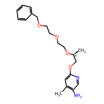 Cc1cc(OC[C@H](C)OCCOCCOCc2ccccc2)ncc1N